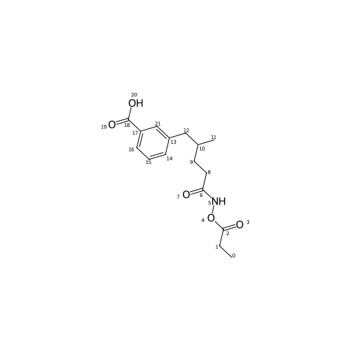 CCC(=O)ONC(=O)CCC(C)Cc1cccc(C(=O)O)c1